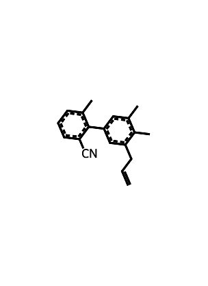 C=CCc1cc(-c2c(C)cccc2C#N)cc(C)c1C